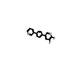 Fc1cc(-c2ccc(-c3cccnc3)cc2)cnc1F